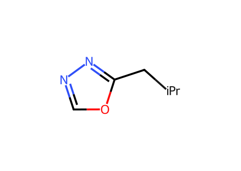 CC(C)Cc1nnco1